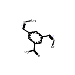 O=C(O)c1cc(/C=N\O)cc(/C=N\O)c1